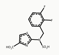 O=C(O)c1csc(N(Cc2cccc(F)c2F)S(=O)(=O)O)n1